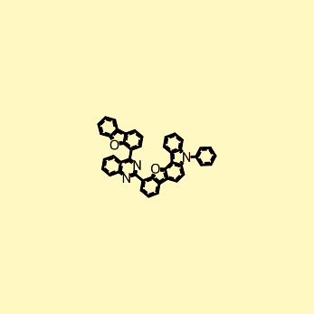 c1ccc(-n2c3ccccc3c3c4oc5c(-c6nc(-c7cccc8c7oc7ccccc78)c7ccccc7n6)cccc5c4ccc32)cc1